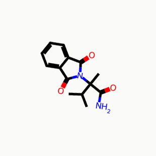 CC(C)C(C)(C(N)=O)N1C(=O)c2ccccc2C1=O